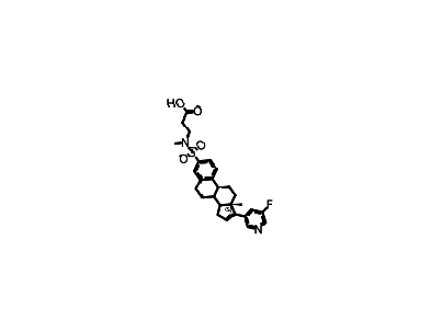 CN(CCC(=O)O)S(=O)(=O)c1ccc2c(c1)CCC1C2CC[C@]2(C)C(c3cncc(F)c3)=CCC12